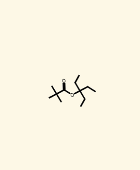 CCC(CC)(CC)OC(=O)C(C)(C)C